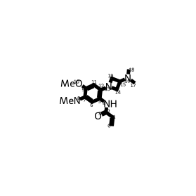 C=CC(=O)Nc1cc(NC)c(OC)cc1N1CC(N(C)C)C1